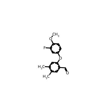 COc1ccc(Oc2cc(C)c(C)cc2C=O)cc1F